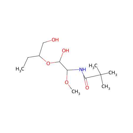 CCC(CO)OC(O)C(NC(=O)C(C)(C)C)OC